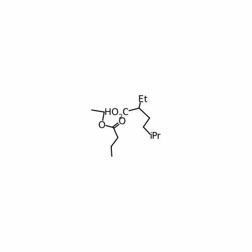 CCC(CCC(C)C)C(=O)O.CCCC(=O)OCC